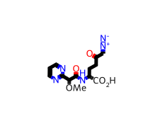 COC(C(=O)NC(CCC(=O)C=[N+]=[N-])C(=O)O)c1ncccn1